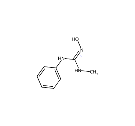 CN/C(=N/O)Nc1ccccc1